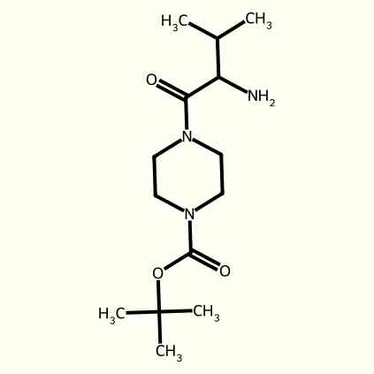 CC(C)C(N)C(=O)N1CCN(C(=O)OC(C)(C)C)CC1